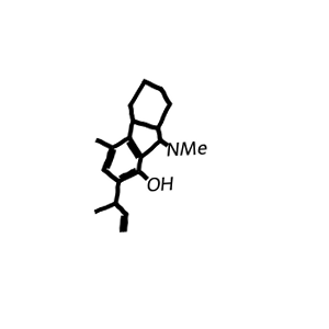 C=CC(C)c1cc(C)c2c(c1O)C(NC)C1CCCCC21